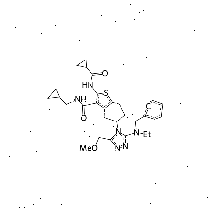 CCN(Cc1ccccc1)c1nnc(COC)n1C1CCc2sc(NC(=O)C3CC3)c(C(=O)NCC3CC3)c2C1